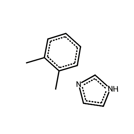 Cc1ccccc1C.c1c[nH]cn1